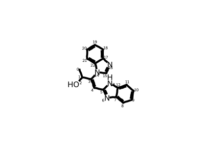 CC(O)C(=Cc1nc2ccccc2[nH]1)n1cnc2ccccc21